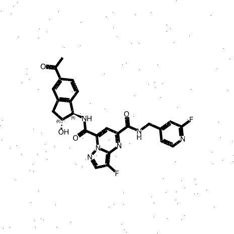 CC(=O)c1ccc2c(c1)C[C@@H](O)[C@@H]2NC(=O)c1cc(C(=O)NCc2ccnc(F)c2)nc2c(F)cnn12